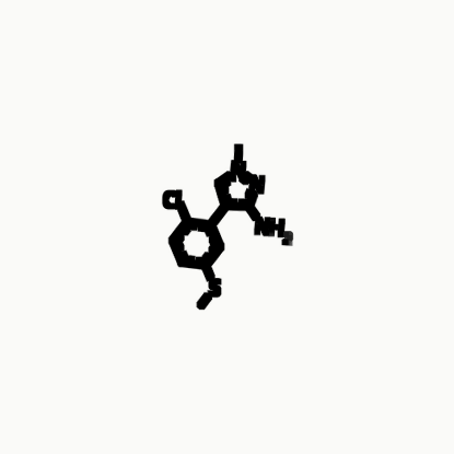 CSc1ccc(Cl)c(-c2cn(C)nc2N)c1